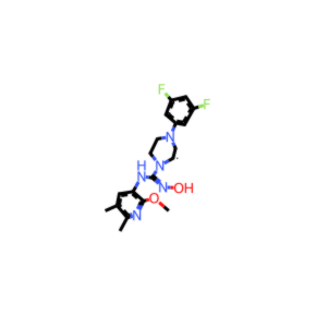 COc1nc(C)c(C)cc1NC(=NO)N1[CH]CN(c2cc(F)cc(F)c2)CC1